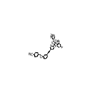 N#Cc1ccc(COc2cccc(C#Cc3ccc(C(F)(F)C(O)(Cn4cnnn4)c4ccc(F)cc4F)nc3)c2)cc1